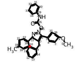 COc1ccc(-c2c(Cc3ccccc3)c(-c3ccc(C)cc3)nn2OC(=O)Nc2ccccc2)cc1